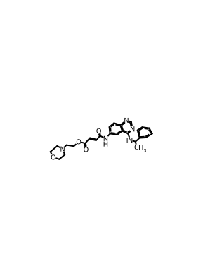 CC(Nc1ncnc2ccc(NC(=O)/C=C/C(=O)OCCN3CCOCC3)cc12)c1ccccc1